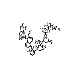 Cc1ccc2c(NC[C@H](O)C(F)(F)F)c(F)ccc2c1Oc1ncccc1-c1ccnc(NC2CC(F)CN(C(=O)OC(C)(C)C)C2)n1